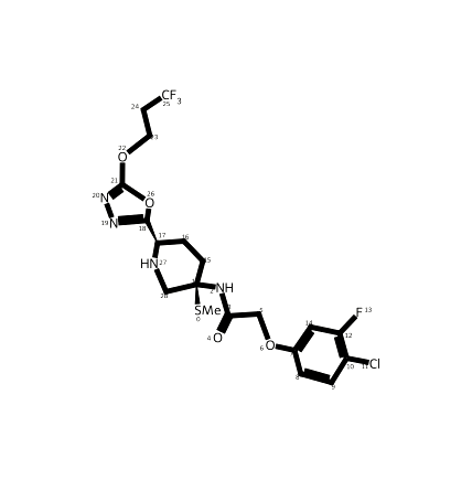 CS[C@]1(NC(=O)COc2ccc(Cl)c(F)c2)CC[C@H](c2nnc(OCCC(F)(F)F)o2)NC1